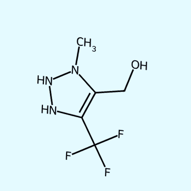 CN1NNC(C(F)(F)F)=C1CO